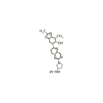 Cc1nc2c(C)c(O)c(-c3ccc4nc(N5CCC(NC(C)C)C5)ncc4n3)cc2o1